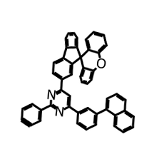 c1ccc(-c2nc(-c3cccc(-c4cccc5ccccc45)c3)cc(-c3ccc4c(c3)C3(c5ccccc5Oc5ccccc53)c3ccccc3-4)n2)cc#1